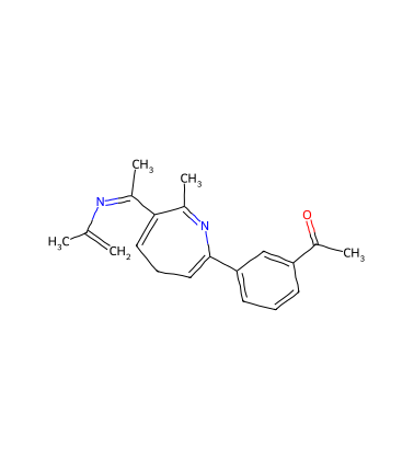 C=C(C)/N=C(/C)C1=CCC=C(c2cccc(C(C)=O)c2)N=C1C